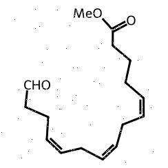 COC(=O)CCC/C=C\C/C=C\C/C=C\CCC=O